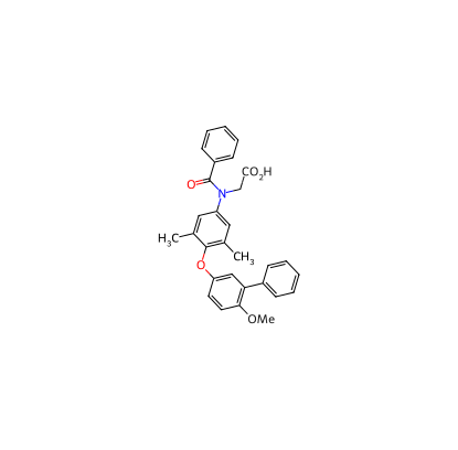 COc1ccc(Oc2c(C)cc(N(CC(=O)O)C(=O)c3ccccc3)cc2C)cc1-c1ccccc1